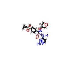 O=C(Nc1cc[nH]n1)/C(=N/O[C@@H]1CCOC1)c1ccc(S(=O)(=O)C2CC2)cc1